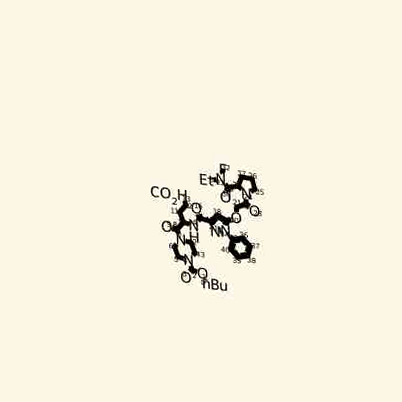 CCCCOC(=O)N1CCN(C(=O)C(CCC(=O)O)NC(=O)c2cc(OCC(=O)N3CCCC3C(=O)N(F)CC)n(-c3ccccc3)n2)CC1